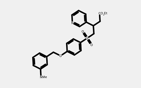 CCOC(=O)CC(CS(=O)(=O)c1ccc(OCc2cccc(NC)c2)cc1)c1cccnc1